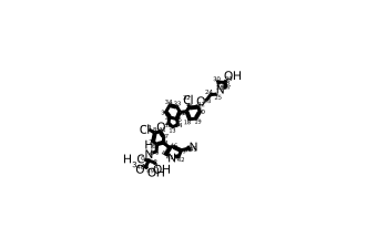 CC(CO)(NCc1cc(Cl)c(O[C@H]2CCc3c(-c4cccc(OCCCN5CC(O)C5)c4Cl)cccc32)cc1-c1cncc(C#N)c1)C(=O)O